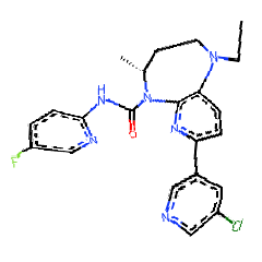 CCN1CC[C@@H](C)N(C(=O)Nc2ccc(F)cn2)c2nc(-c3cncc(Cl)c3)ccc21